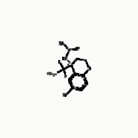 CCOC(=O)C(F)(F)[C@@]1(N[S+]([O-])C(C)(C)C)CCOc2ccc(Br)cc21